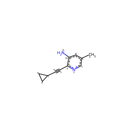 Cc1cnc(C#CC2CC2)c(N)c1